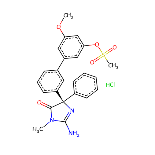 COc1cc(OS(C)(=O)=O)cc(-c2cccc([C@@]3(c4ccccc4)N=C(N)N(C)C3=O)c2)c1.Cl